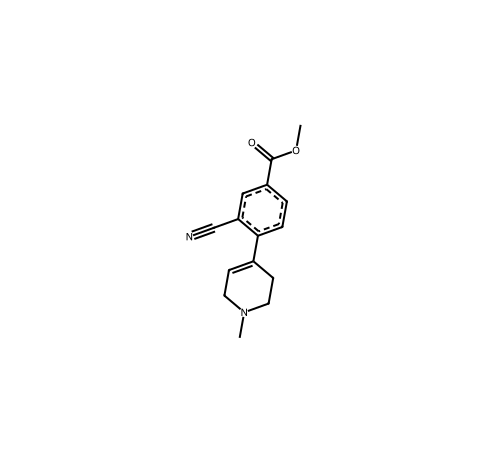 COC(=O)c1ccc(C2=CCN(C)CC2)c(C#N)c1